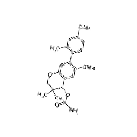 COc1ccc(-c2cc3c(cc2OC)C(OC(N)=O)C(C)(C)CO3)c(C)c1